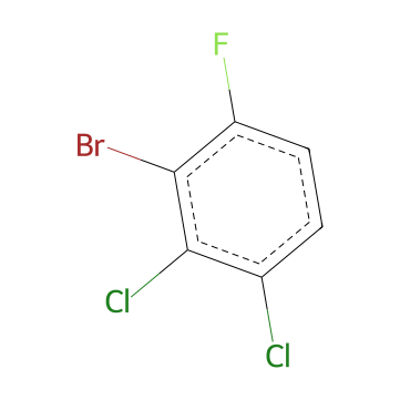 Fc1ccc(Cl)c(Cl)c1Br